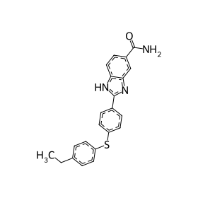 CCc1ccc(Sc2ccc(-c3nc4cc(C(N)=O)ccc4[nH]3)cc2)cc1